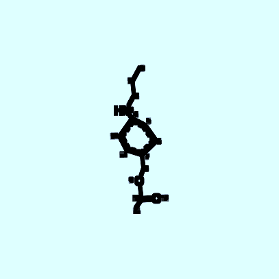 CCCNc1ccc(COC(C)=O)cc1